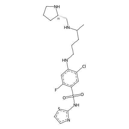 CC(CCCNc1cc(F)c(S(=O)(=O)Nc2nccs2)cc1Cl)NC[C@@H]1CCCN1